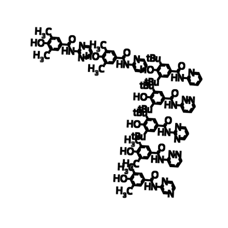 CC(C)(C)c1cc(C(=O)Nc2ccccn2)cc(C(C)(C)C)c1O.CC(C)(C)c1cc(C(=O)Nc2cccnn2)cc(C(C)(C)C)c1O.CC(C)(C)c1cc(C(=O)Nc2ncccn2)cc(C(C)(C)C)c1O.Cc1cc(C(=O)Nc2ccccn2)cc(C)c1O.Cc1cc(C(=O)Nc2cccnn2)cc(C)c1O.Cc1cc(C(=O)Nc2cnccn2)cc(C)c1O.Cc1cc(C(=O)Nc2ncccn2)cc(C)c1O